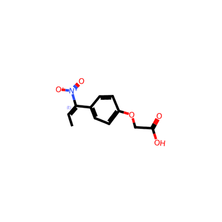 C/C=C(\c1ccc(OCC(=O)O)cc1)[N+](=O)[O-]